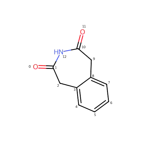 O=C1Cc2ccccc2CC(=O)N1